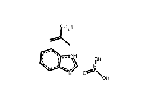 C=C(C)C(=O)O.O=[PH](O)O.c1ccc2[nH]cnc2c1